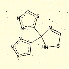 C1=NC(c2csnn2)(c2nncs2)NS1